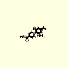 CCc1cc(N)c(N2CCC(C(=O)O)CC2)c(F)c1